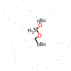 CCCCCO[SiH2]OCCCC